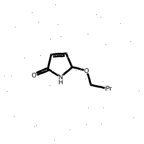 CC(C)COC1C=CC(=O)N1